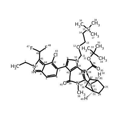 CCn1nc2ccc(-c3cn(COCC[Si](C)(C)C)c4nc(N5[C@H]6CC[C@@H]5[C@H](NC(=O)OC(C)(C)C)C6)n(C)c(=O)c34)c(Cl)c2c1C(F)F